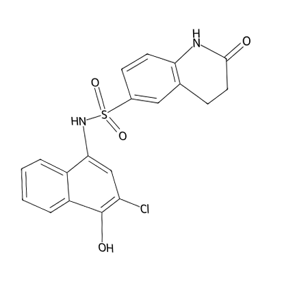 O=C1CCc2cc(S(=O)(=O)Nc3cc(Cl)c(O)c4ccccc34)ccc2N1